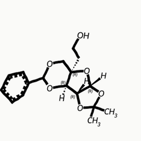 CC1(C)O[C@H]2O[C@]3(CCO)COC(c4ccccc4)O[C@@H]3[C@H]2O1